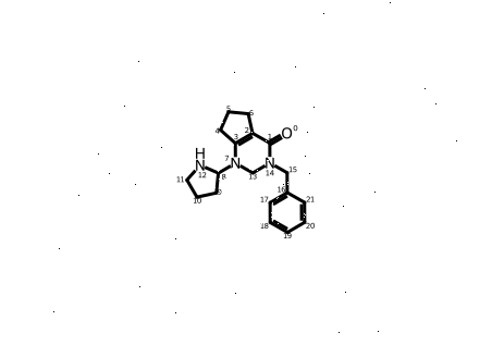 O=C1C2=C(CCC2)N(C2CCCN2)CN1Cc1ccccc1